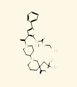 CCNC(=O)Nc1sc(-c2ccccc2)cc1C(=O)N1CCC(N2CCCC3(C2)CC(C)(C)OC3=O)CC1